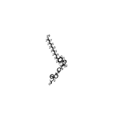 C=CCC(=O)OCCOCC[C@@H](C)Oc1ccc(CCCCCCCCCCCC)cc1